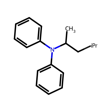 CC(C)CC(C)N(c1ccccc1)c1ccccc1